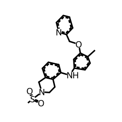 Cc1ccc(Nc2cccc3c2CCN(S(C)(=O)=O)C3)cc1OCc1ccccn1